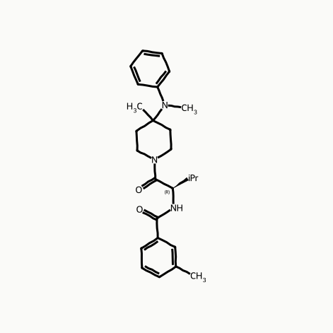 Cc1cccc(C(=O)N[C@@H](C(=O)N2CCC(C)(N(C)c3ccccc3)CC2)C(C)C)c1